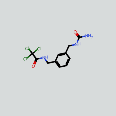 NC(=O)NCc1cccc(CNC(=O)C(Cl)(Cl)Cl)c1